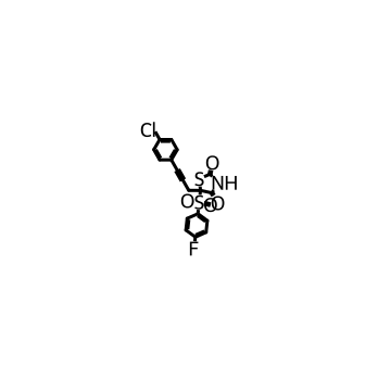 O=C1NC(=O)C(CC#Cc2ccc(Cl)cc2)(S(=O)(=O)c2ccc(F)cc2)S1